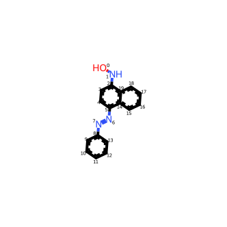 ONc1ccc(/N=N/c2ccccc2)c2ccccc12